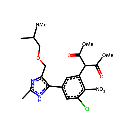 CNC(C)COCc1nc(C)[nH]c1-c1cc(Cl)c([N+](=O)[O-])c(C(C(=O)OC)C(=O)OC)c1